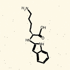 NCCCC[C@H](Nc1cc2ccccc2[nH]1)C(=O)O